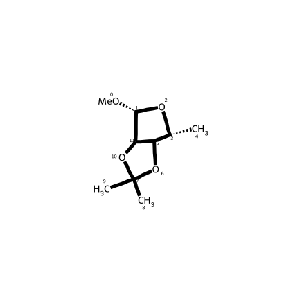 CO[C@@H]1O[C@H](C)C2OC(C)(C)OC21